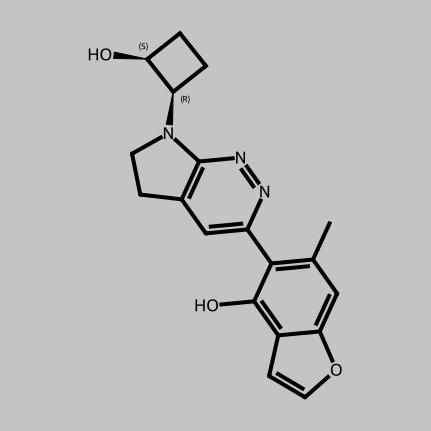 Cc1cc2occc2c(O)c1-c1cc2c(nn1)N([C@@H]1CC[C@@H]1O)CC2